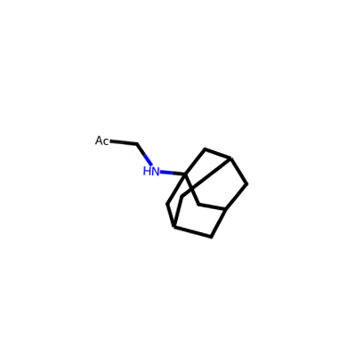 CC(=O)CNC12CC3CC(CC(C3)C1)C2